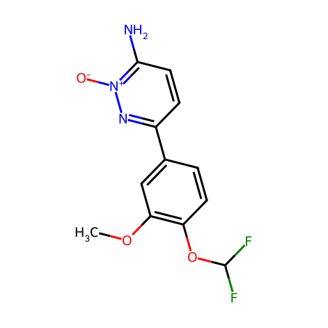 COc1cc(-c2ccc(N)[n+]([O-])n2)ccc1OC(F)F